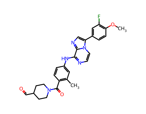 COc1ccc(-c2cnc3c(Nc4ccc(C(=O)N5CCC(C=O)CC5)c(C)c4)nccn23)cc1F